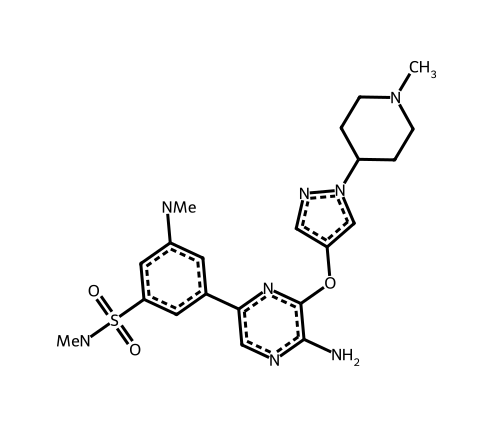 CNc1cc(-c2cnc(N)c(Oc3cnn(C4CCN(C)CC4)c3)n2)cc(S(=O)(=O)NC)c1